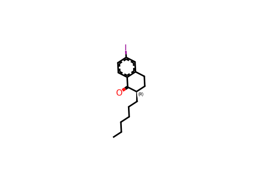 CCCCCC[C@@H]1CCc2cc(I)ccc2C1=O